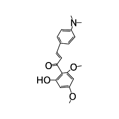 COc1cc(O)c(C(=O)C=Cc2ccc(N(C)C)cc2)c(OC)c1